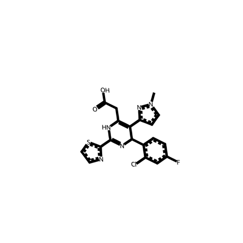 Cn1ccc(C2=C(CC(=O)O)NC(c3nccs3)=NC2c2ccc(F)cc2Cl)n1